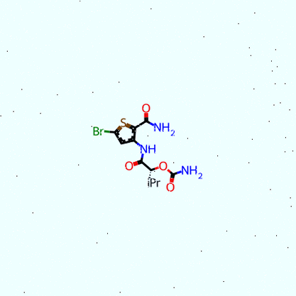 CC(C)[C@@H](OC(N)=O)C(=O)Nc1cc(Br)sc1C(N)=O